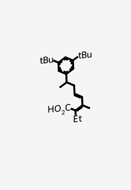 CCC(C(=O)O)=C(C)C=CCC(C)c1cc(C(C)(C)C)cc(C(C)(C)C)c1